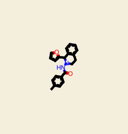 Cc1ccc(C(=O)NN2CCc3ccccc3C2c2ccco2)cc1